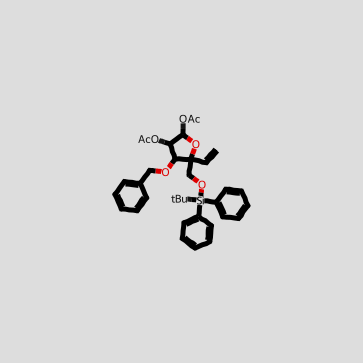 C=CC1(CO[Si](c2ccccc2)(c2ccccc2)C(C)(C)C)OC(OC(C)=O)C(OC(C)=O)C1OCc1ccccc1